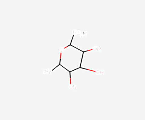 CCCC1OC(C(=O)O)C(O)C(O)C1O